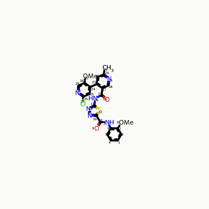 COc1ccccc1NC(=O)c1nnc(NC(=O)c2cnc(C)cc2-c2cc(Cl)ncc2OC)s1